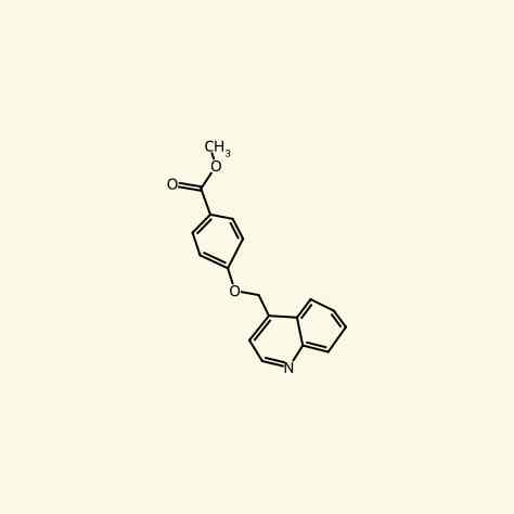 COC(=O)c1ccc(OCc2ccnc3ccccc23)cc1